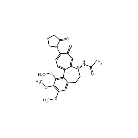 COc1cc2c(c(OC)c1OC)-c1ccc(N3CCCC3=O)c(=O)cc1[C@@H](NC(C)=O)CC2